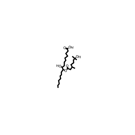 CCCCCCCCC(OC(=O)CC(C)CCCC(C)(C)O)C(O)CCCCCCCC(=O)O